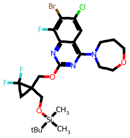 CC(C)(C)[Si](C)(C)OCC1(COc2nc(N3CCCOCC3)c3cc(Cl)c(Br)c(F)c3n2)CC1(F)F